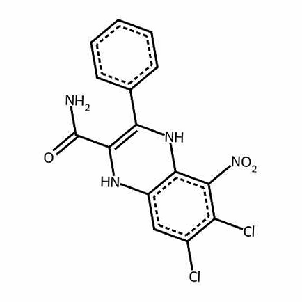 NC(=O)C1=C(c2ccccc2)Nc2c(cc(Cl)c(Cl)c2[N+](=O)[O-])N1